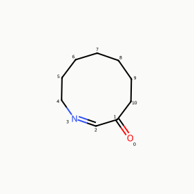 O=C1C=NCCCCCCC1